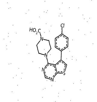 O=C(O)N1CCN(c2ncnc3scc(-c4ccc(Cl)cc4)c23)CC1